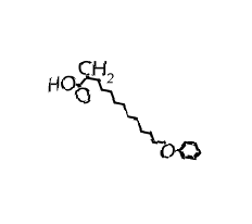 C=C(CCCCCCCCCCCOc1ccccc1)C(=O)O